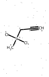 C#CC[Si](C)(Cl)Cl